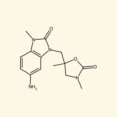 CN1CC(C)(Cn2c(=O)n(C)c3ccc(N)cc32)OC1=O